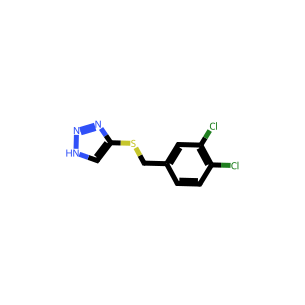 Clc1ccc(CSc2c[nH]nn2)cc1Cl